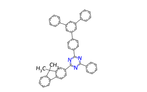 CC1(C)c2ccccc2-c2ccc(-c3nc(-c4ccccc4)nc(-c4ccc(-c5cc(-c6ccccc6)cc(-c6ccccc6)c5)cc4)n3)cc21